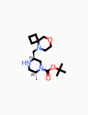 C[C@@H]1CN[C@@H](CN2CCOCC23CCC3)CN1C(=O)OC(C)(C)C